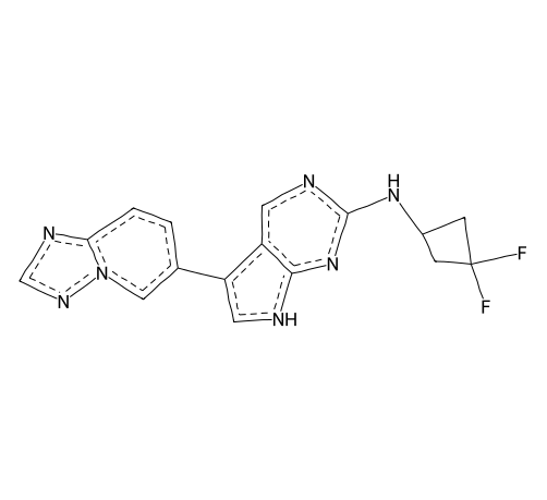 FC1(F)CC(Nc2ncc3c(-c4ccc5ncnn5c4)c[nH]c3n2)C1